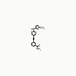 Cn1ccc(Nc2ncc(C#Cc3cccc(C(N)=O)c3)cn2)n1